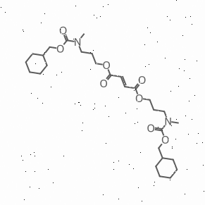 CN(CCCOC(=O)/C=C/C(=O)OCCCN(C)C(=O)OCC1CCCCC1)C(=O)OCC1CCCCC1